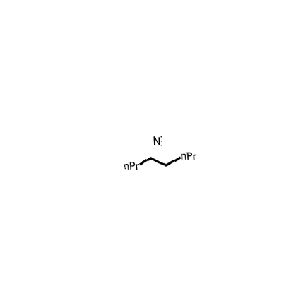 CCCCCCCC.[N]